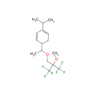 COC(COC(C)C1C=CC(C(C)C)=CC1)(C(F)(F)F)C(F)(F)F